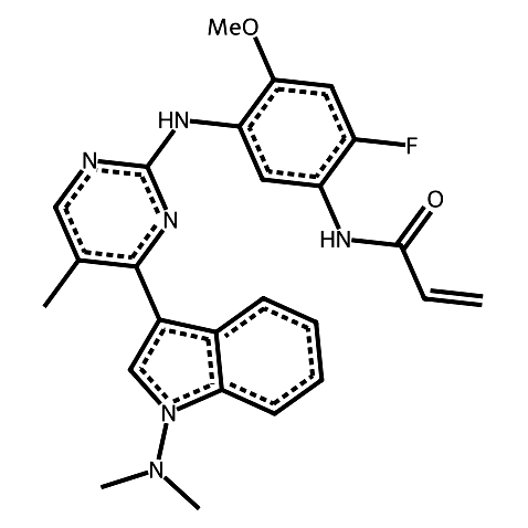 C=CC(=O)Nc1cc(Nc2ncc(C)c(-c3cn(N(C)C)c4ccccc34)n2)c(OC)cc1F